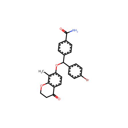 Cc1c(OC(c2ccc(Br)cc2)c2ccc(C(N)=O)cc2)ccc2c1OCCC2=O